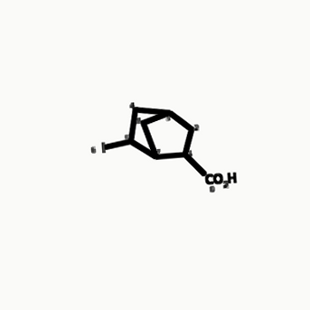 O=C(O)C1CC2CC(I)C1C2